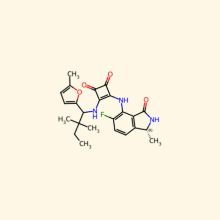 CCC(C)(C)C(Nc1c(Nc2c(F)ccc3c2C(=O)N[C@@H]3C)c(=O)c1=O)c1ccc(C)o1